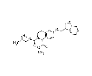 COC(=O)C1c2ccc(OCc3csc4ccccc34)cc2CCN1C(=O)OCC(C)C